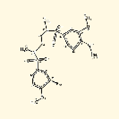 COc1ccc(S(=O)(=O)N(C)CCN(C)S(=O)(=O)c2ccc(OC)c(OC)c2)cc1F